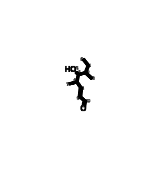 CCC(C)C(O)C(C)C=CC=O